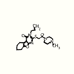 C=CCn1c(SCC(=O)N2CCN(C)CC2)nc2oc3c(c2c1=O)CCCC3